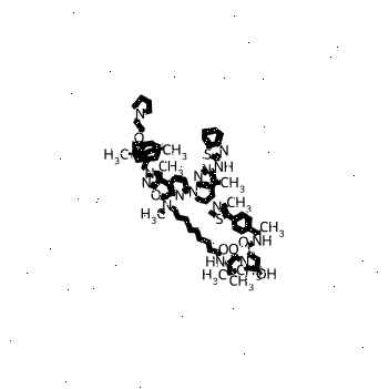 Cc1ncsc1-c1ccc([C@H](C)NC(=O)[C@@H]2C[C@@H](O)CN2C(=O)[C@@H](NC(=O)CCCCCCCCN(C)C(=O)c2nc(N3CCCc4c3nnc(Nc3nc5ccccc5s3)c4C)ccc2-c2cnn(CC34CC5(OCCN6CCCC6)C[C@](C)(C3)C[C@](C)(C4)C5)c2C)C(C)(C)C)cc1